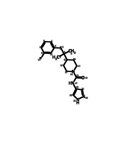 CC(C)(Sc1cccc(F)c1)C1CCN(C(=O)Nc2cn[nH]c2)CC1